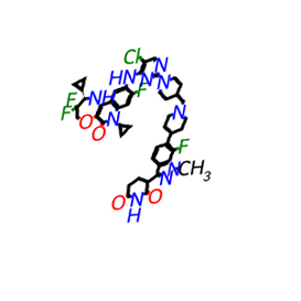 Cn1nc(C2CCC(=O)NC2=O)c2ccc(C3CCN(CC4CCN(c5ncc(Cl)c(Nc6cc7c8c(c(=O)n(C9CC9)c7cc6F)OCC(F)(F)[C@H](C6CC6)N8)n5)CC4)CC3)c(F)c21